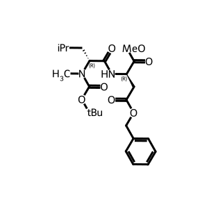 COC(=O)[C@@H](CC(=O)OCc1ccccc1)NC(=O)[C@@H](CC(C)C)N(C)C(=O)OC(C)(C)C